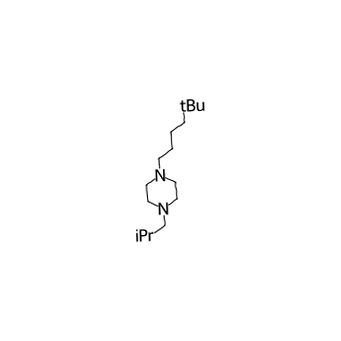 CC(C)CN1CCN(CCCCC(C)(C)C)CC1